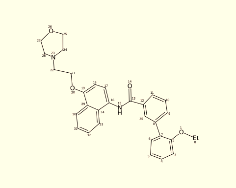 CCOc1ccccc1-c1cccc(C(=O)Nc2ccc(OCCN3CCOCC3)c3ccccc23)c1